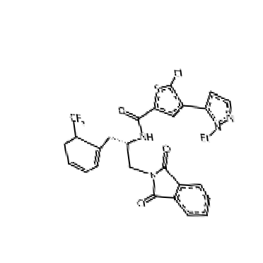 CCn1nccc1-c1cc(C(=O)N[C@@H](CC2=CC=CCC2C(F)(F)F)CN2C(=O)c3ccccc3C2=O)sc1Cl